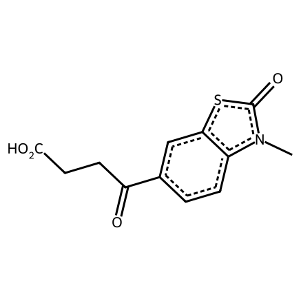 Cn1c(=O)sc2cc(C(=O)CCC(=O)O)ccc21